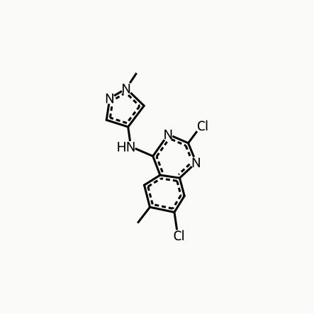 Cc1cc2c(Nc3cnn(C)c3)nc(Cl)nc2cc1Cl